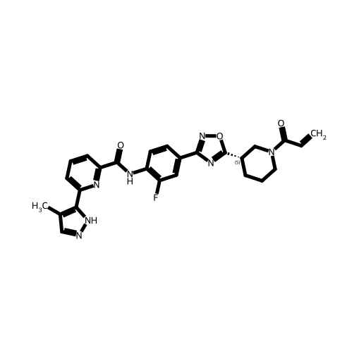 C=CC(=O)N1CCC[C@H](c2nc(-c3ccc(NC(=O)c4cccc(-c5[nH]ncc5C)n4)c(F)c3)no2)C1